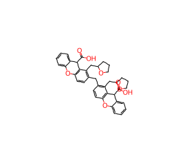 O=C(O)C1c2ccccc2Oc2ccc(Cc3ccc4c(c3CC3CCCO3)C(C(=O)O)c3ccccc3O4)c(CC3CCCO3)c21